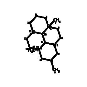 CC1CN2CC[N+]3(C)CCCN4CC[N+](C)(C1)C2C43